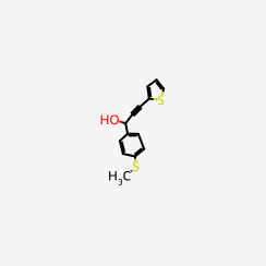 CSc1ccc(C(O)C#Cc2cccs2)cc1